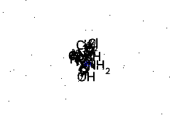 N/N=C(\c1ccc(O)cc1)c1nc2nonc2nc1Nc1ccc(Cl)c(Cl)c1